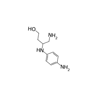 NCC(CCO)Nc1ccc(N)cc1